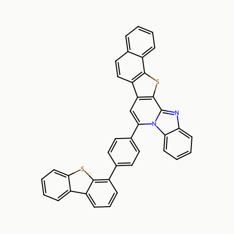 c1ccc2c(c1)ccc1c3cc(-c4ccc(-c5cccc6c5sc5ccccc56)cc4)n4c5ccccc5nc4c3sc21